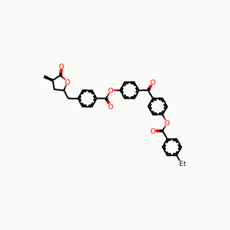 C=C1CC(Cc2ccc(C(=O)Oc3ccc(C(=O)c4ccc(OC(=O)c5ccc(CC)cc5)cc4)cc3)cc2)OC1=O